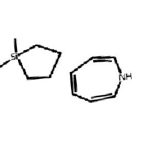 C1=CC=CNC=C1.C[Si]1(C)CCCC1